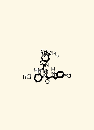 CN1Cc2nc(C(=O)N[C@H]3CCCC[C@H]3NC(=O)c3cc4cc(Cl)ccc4[nH]3)sc2CN1C.Cl